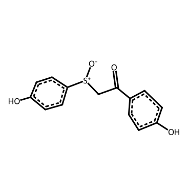 O=C(C[S+]([O-])c1ccc(O)cc1)c1ccc(O)cc1